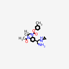 CC(=O)N1c2ccc(C(CN)CNC3CC3)cc2N(C(=O)Oc2cccc(C)c2)C[C@@H]1C